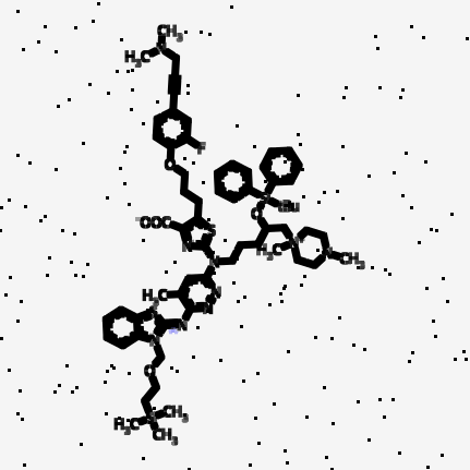 Cc1cc(N(CCCC(C[N+]2(C)CCN(C)CC2)O[Si](c2ccccc2)(c2ccccc2)C(C)(C)C)c2nc(C(=O)[O-])c(CCCOc3ccc(C#CCN(C)C)cc3F)s2)nnc1/N=c1\sc2ccccc2n1COCC[Si](C)(C)C